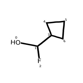 OC(F)C1CCC1